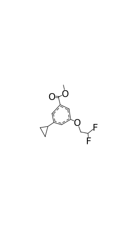 COC(=O)c1cc(OCC(F)F)cc(C2CC2)c1